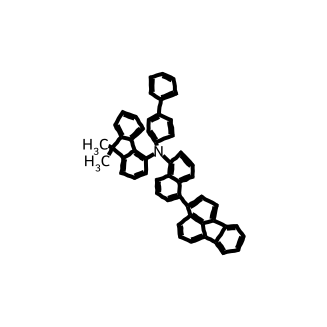 CC1(C)c2ccccc2-c2c(N(c3ccc(-c4ccccc4)cc3)c3cccc4c(-c5ccc6c7c(cccc57)-c5ccccc5-6)cccc34)cccc21